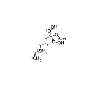 C=C[SiH2]CCCC(OO)(OO)OO